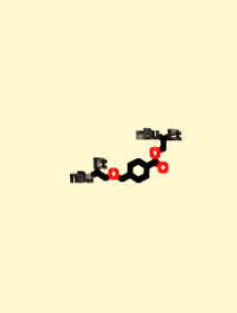 CCCCC(CC)COCC1CCC(C(=O)OCC(CC)CCCC)CC1